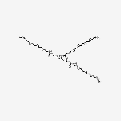 [N-]=[N+]=NCCOCCOCCOCCNC(=O)CCOCC(COCCC(=O)NCCOCCOCCOCCN=[N+]=[N-])NC(=O)CCCOCCOCCOCCOCCN